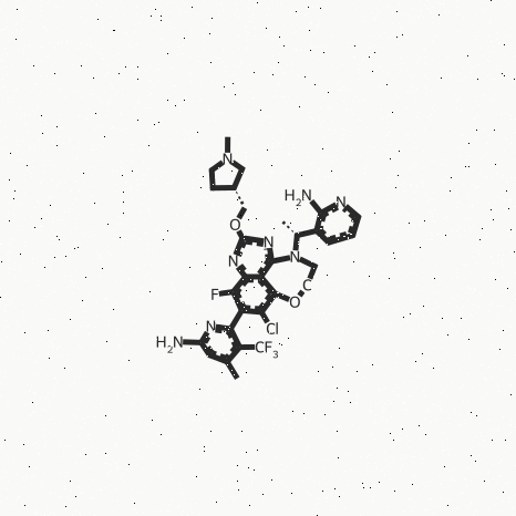 Cc1cc(N)nc(-c2c(Cl)c3c4c(nc(OC[C@@H]5CCN(C)C5)nc4c2F)N([C@H](C)c2cccnc2N)CCO3)c1C(F)(F)F